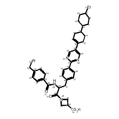 CCC1CCC(C2CC=C(c3cnc(-c4ccc(CC(NC(=O)c5ccc(CC(C)C)cc5)C(=O)N5CC(C(=O)O)C5)cc4)nc3)CC2)CC1